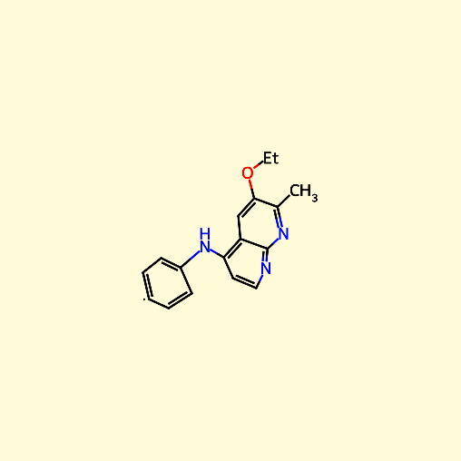 CCOc1cc2c(Nc3cc[c]cc3)ccnc2nc1C